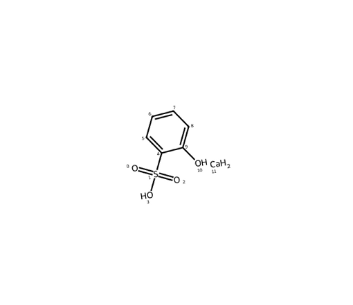 O=S(=O)(O)c1ccccc1O.[CaH2]